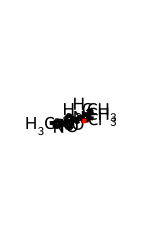 Cc1ccc(N2CCOc3c(C(=O)Nc4ccc(Cl)c(C(C)(C)C)c4)cccc32)nc1